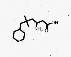 CC(C)(CC(N)CC(=O)O)CC1CCCCC1